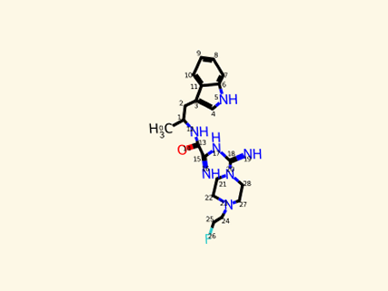 CC(Cc1c[nH]c2ccccc12)NC(=O)C(=N)NC(=N)N1CCN(CCF)CC1